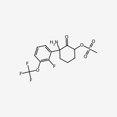 CS(=O)(=O)OC1CCCC(N)(c2cccc(OC(F)(F)F)c2F)C1=O